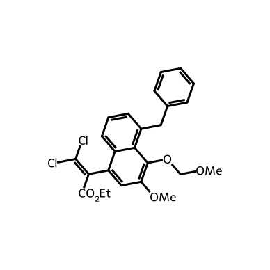 CCOC(=O)C(=C(Cl)Cl)c1cc(OC)c(OCOC)c2c(Cc3ccccc3)cccc12